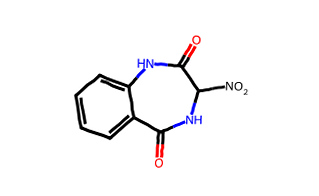 O=C1NC([N+](=O)[O-])C(=O)Nc2ccccc21